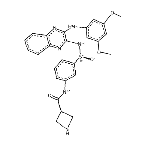 COc1cc(Nc2nc3ccccc3nc2N[S@@+]([O-])c2cccc(NC(=O)C3CNC3)c2)cc(OC)c1